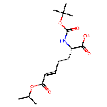 CC(C)OC(=O)C=CCC[C@H](NC(=O)OC(C)(C)C)C(=O)O